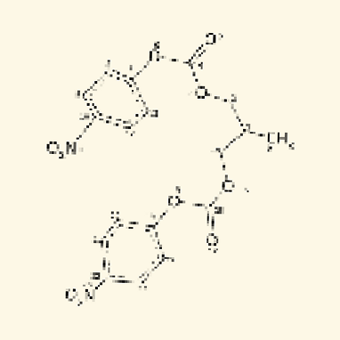 CC(COC(=O)Oc1ccc([N+](=O)[O-])cc1)COC(=O)Oc1ccc([N+](=O)[O-])cc1